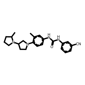 Cc1cc(NC(=O)Nc2cccc(C#N)c2)ccc1N1CCC(N2CCCC2C)C1